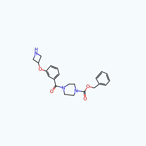 O=C(OCc1ccccc1)N1CCN(C(=O)c2cccc(OC3CNC3)c2)CC1